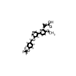 COc1ccc(-c2cnnc(OCc3ccc(OC(F)(F)F)cc3)c2)nc1[C@@H]1C[C@H]1C(=O)O